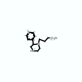 CCOC(=O)CCCN1CCNCC1c1ccncc1